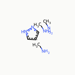 CN.CN.CN.[c]1cn[nH]c1